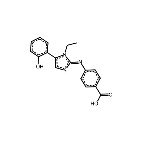 CCn1c(-c2ccccc2O)csc1=Nc1ccc(C(=O)O)cc1